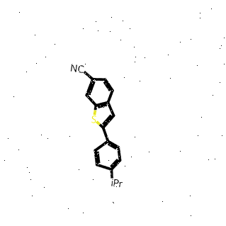 CC(C)c1ccc(-c2cc3ccc(C#N)cc3s2)cc1